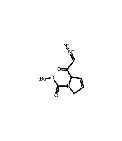 CC(C)(C)OC(=O)N1CC=CC1C(=O)C=[N+]=[N-]